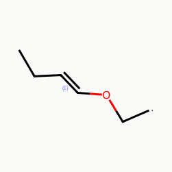 [CH2]CO/C=C/CC